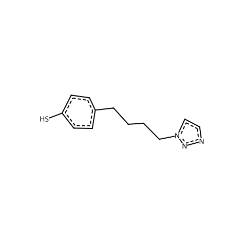 Sc1ccc(CCCCn2ccnn2)cc1